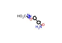 NC(=O)c1ccc(-c2cccc(On3cc(C(=O)O)nn3)c2)cc1